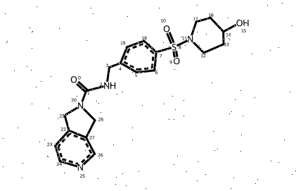 O=C(NCc1ccc(S(=O)(=O)N2CCC(O)CC2)cc1)N1Cc2ccncc2C1